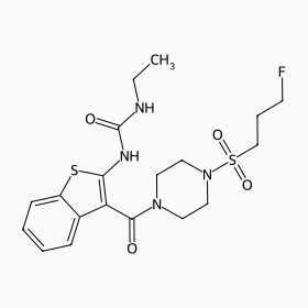 CCNC(=O)Nc1sc2ccccc2c1C(=O)N1CCN(S(=O)(=O)CCCF)CC1